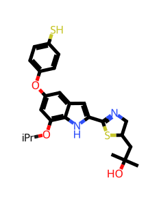 CC(C)Oc1cc(Oc2ccc(S)cc2)cc2cc(C3=NCC(CC(C)(C)O)S3)[nH]c12